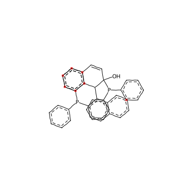 OC1(P(c2ccccc2)c2ccccc2)C=Cc2ccccc2C1c1c(P(c2ccccc2)c2ccccc2)ccc2ccccc12